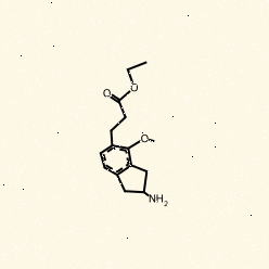 CCOC(=O)CCc1ccc2c(c1OC)CC(N)C2